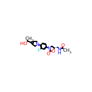 CC(=O)NC[C@H]1CN(c2ccc(N3CC4C(C3)C4C(C)O)c(F)c2)C(=O)O1